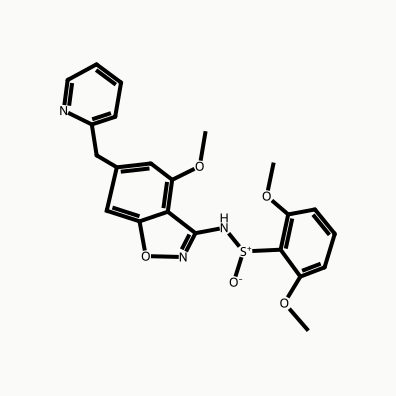 COc1cccc(OC)c1[S+]([O-])Nc1noc2cc(Cc3ccccn3)cc(OC)c12